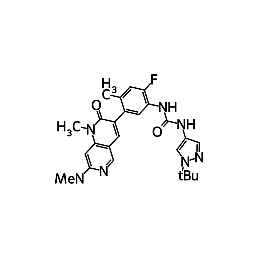 CNc1cc2c(cn1)cc(-c1cc(NC(=O)Nc3cnn(C(C)(C)C)c3)c(F)cc1C)c(=O)n2C